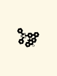 CC1(C)c2ccccc2C(=O)c2ccc(-c3ccccc3-c3ccc(-c4nc(-c5ccccc5)nc(-c5ccccc5)n4)cc3)cc21